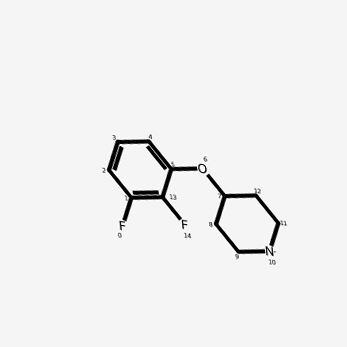 Fc1cccc(OC2CC[N]CC2)c1F